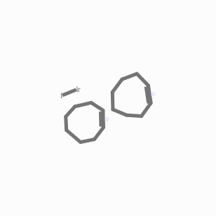 C1=C\CCCCCC/1.C1=C\CCCCCC/1.[I][Ir]